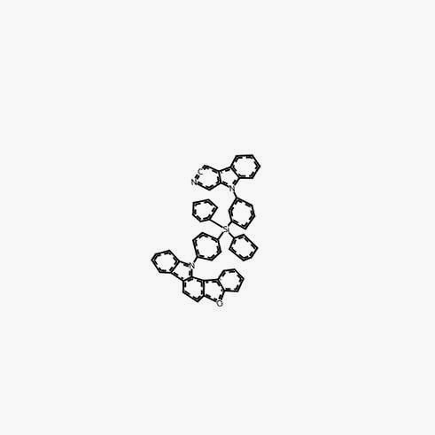 c1ccc([Si](c2ccccc2)(c2ccc(-n3c4ccccc4c4ccc5oc6ccccc6c5c43)cc2)c2cccc(-n3c4ccccc4c4ccncc43)c2)cc1